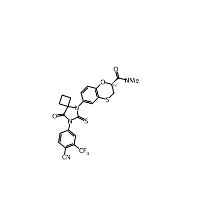 CNC(=O)[C@H]1CSc2cc(N3C(=S)N(c4ccc(C#N)c(C(F)(F)F)c4)C(=O)C34CCC4)ccc2O1